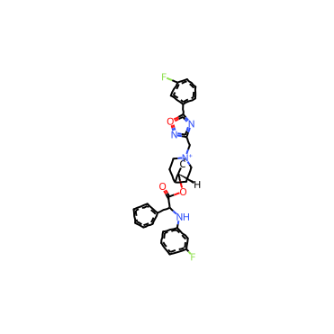 O=C(O[C@H]1C[N+]2(Cc3noc(-c4cccc(F)c4)n3)CCC1CC2)C(Nc1cccc(F)c1)c1ccccc1